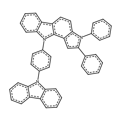 c1ccc(-c2cc3c(ccc4c5ccccc5n(-c5ccc(-n6c7ccccc7c7ccccc76)cc5)c43)n2-c2ccccc2)cc1